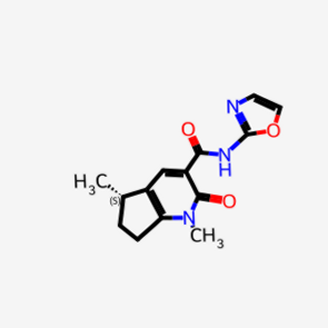 C[C@H]1CCc2c1cc(C(=O)Nc1ncco1)c(=O)n2C